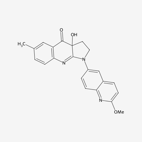 COc1ccc2cc(N3CCC4(O)C(=O)c5cc(C)ccc5N=C34)ccc2n1